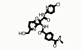 CN(C)C(=O)c1ccc(C(=O)Nc2c(C(=O)Nc3ccc(Cl)cn3)oc3ccc(CO)nc23)cc1